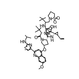 C=CC1C[C@]1(NC(=O)[C@@H]1C[C@@H](Oc2cc(-c3csc(NC(C)C)n3)nc3cc(OC)ccc23)CN1C(=O)[C@@H](NC(=O)NC(CN1CCCS1(=O)=O)C(C)(C)C)C(C)(C)C)C(=O)O